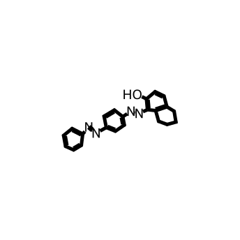 Oc1ccc2c(c1N=Nc1ccc(N=Nc3ccccc3)cc1)CCCC2